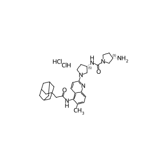 Cc1ccc2nc(N3CC[C@H](NC(=O)N4CC[C@H](N)C4)C3)ccc2c1NC(=O)CC12CC3CC(CC(C3)C1)C2.Cl.Cl